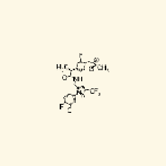 CC(C(=O)NCc1cc(C(F)(F)F)nn1-c1ccc(F)c(Cl)c1)c1ccc(CS(C)(=O)=O)c(F)c1